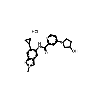 Cl.Cn1cc2cc(NC(=O)c3cc(N4CCC(O)C4)ccn3)c(C3CC3)cc2n1